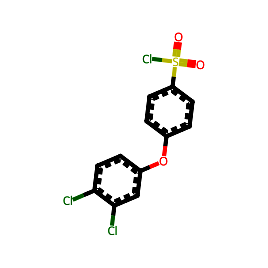 O=S(=O)(Cl)c1ccc(Oc2ccc(Cl)c(Cl)c2)cc1